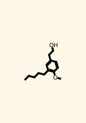 CCCCCc1cc(CCO)ccc1OC